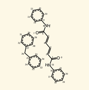 O=C(C=CC=CC(=O)Nc1ccccc1)Nc1ccccc1.c1ccc(Cc2ccccc2)cc1